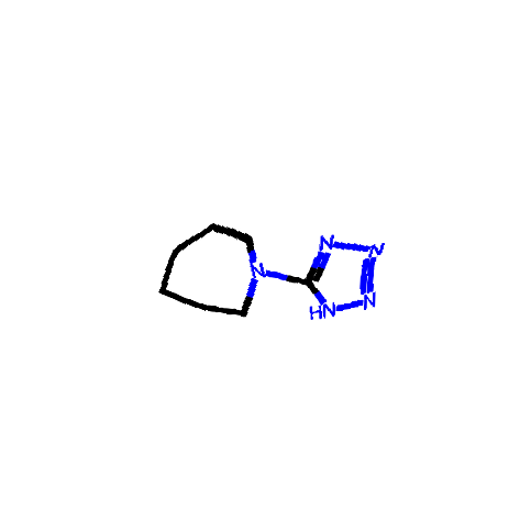 C1CCCN(c2nnn[nH]2)CC1